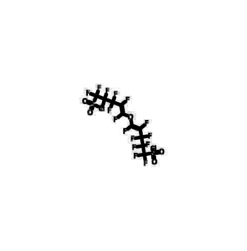 O=S(=O)(Cl)C(F)(F)C(F)(F)C(F)(F)C(F)=C(F)OC(F)=C(F)C(F)(F)C(F)(F)C(F)(F)S(=O)(=O)Cl